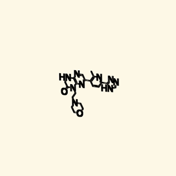 Cc1nc(-c2nnc[nH]2)ccc1-c1cnc2c(n1)N(CCN1CCOCC1)C(=O)CN2